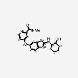 CNC(=O)c1cc(Oc2ccc3nc(N[C@@H]4CCCCC4O)sc3c2)ccn1